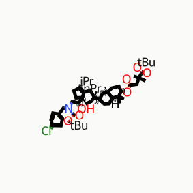 CCC[C@@H]1[C@@]2(C)CC[C@H](OC(=O)CC(C)(C)C(=O)OC(C)(C)C)C(C)(C)[C@@H]2CC[C@@]1(C)[C@]1(C)CC[C@@]2([C@H](O)CN(Cc3ccc(Cl)cc3)C(=O)OC(C)(C)C)CCC(C(C)C)=C2C1